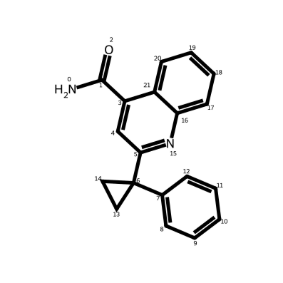 NC(=O)c1cc(C2(c3ccccc3)CC2)nc2ccccc12